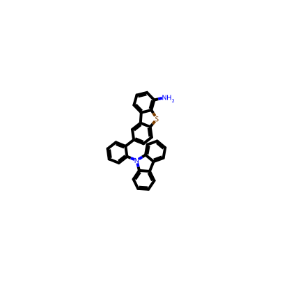 Nc1cccc2c1sc1ccc(-c3ccccc3-n3c4ccccc4c4ccccc43)cc12